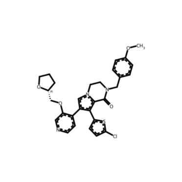 COc1ccc(CN2CCn3cc(-c4ccncc4OC[C@H]4CCCO4)c(-c4ccc(Cl)s4)c3C2=O)cc1